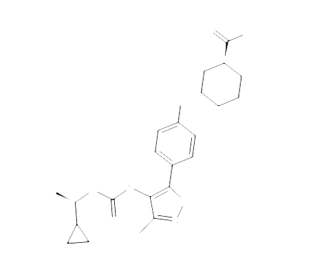 Cc1noc(-c2ccc(O[C@H]3CCC[C@H](C(=O)O)C3)cc2)c1NC(=O)O[C@H](C)C1CC1